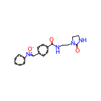 O=C(NCCN1CCNC1=O)c1ccc(C=[N+]([O-])c2ccccc2)cc1